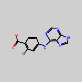 O=C(O)c1ccc(Nc2ncnc3[nH]cnc23)cc1Cl